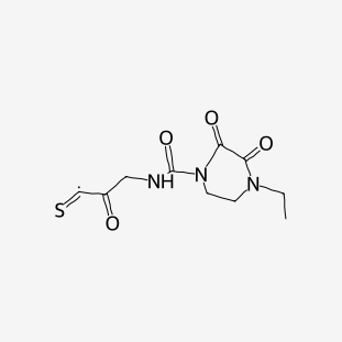 CCN1CCN(C(=O)NCC(=O)[C]=S)C(=O)C1=O